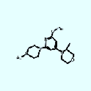 CC(=O)N1CCN(c2cc(N3CCOCC3C)cc(OC(C)(C)C)n2)CC1